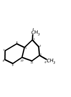 CC1CC(C)C2CCCCC2C1